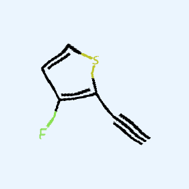 C#Cc1sccc1F